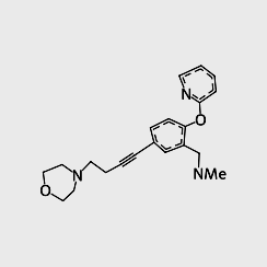 CNCc1cc(C#CCCN2CCOCC2)ccc1Oc1ccccn1